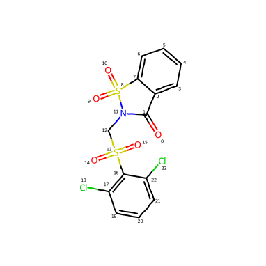 O=C1c2ccccc2S(=O)(=O)N1CS(=O)(=O)c1c(Cl)cccc1Cl